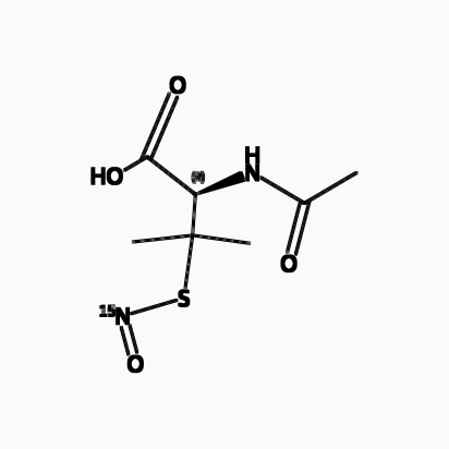 CC(=O)N[C@H](C(=O)O)C(C)(C)S[15N]=O